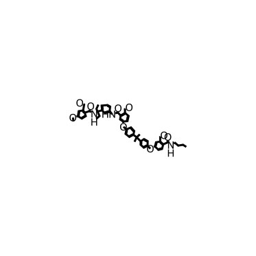 CCCCNC(=O)c1ccc(Oc2ccc(C(C)(C)c3ccc(Oc4ccc(C=O)c(C(=O)Nc5cccc(C(CC)(CC)NC(=O)c6ccc(OC)cc6C=O)c5)c4)cc3)cc2)cc1C=O